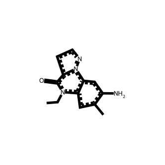 CCn1c(=O)c2ccnn2c2cc(N)c(C)cc21